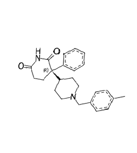 Cc1ccc(CN2CCC([C@@]3(c4ccccc4)CCC(=O)NC3=O)CC2)cc1